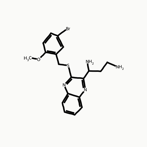 COc1ccc(Br)cc1CSc1nc2ccccc2nc1C(N)CCN